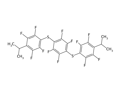 CC(C)c1c(F)c(F)c(Sc2c(F)c(F)c(Sc3c(F)c(F)c(C(C)C)c(F)c3F)c(F)c2F)c(F)c1F